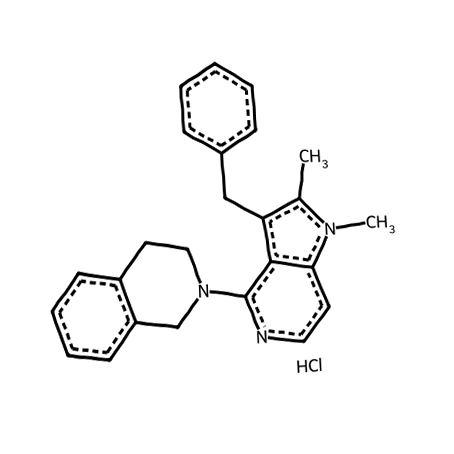 Cc1c(Cc2ccccc2)c2c(N3CCc4ccccc4C3)nccc2n1C.Cl